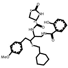 COc1ccc(CC(SCC2CCCCC2)C(CNC(=O)c2ccccc2O)NC(=O)[C@@H]2CSC(=O)N2)cc1